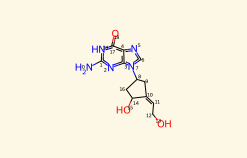 Nc1nc2c(ncn2C2CC(=CCO)C(O)C2)c(=O)[nH]1